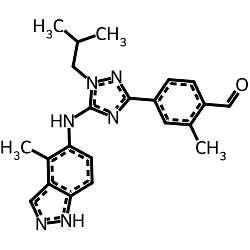 Cc1cc(-c2nc(Nc3ccc4[nH]ncc4c3C)n(CC(C)C)n2)ccc1C=O